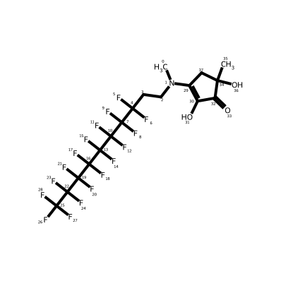 CN(CCC(F)(F)C(F)(F)C(F)(F)C(F)(F)C(F)(F)C(F)(F)C(F)(F)C(F)(F)F)C1=C(O)C(=O)C(C)(O)C1